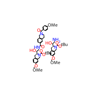 COCOc1ccc2c(c1)CN(C(=O)OC(C)(C)C)[C@H]([C@H](O)CN)C2.COCOc1ccc2c(c1)CN(C(=O)OC(C)(C)C)[C@H]([C@H](O)CNC(=O)c1ccc3c(c1)CCN(C(=O)c1ccc(OC)cc1)C3)C2